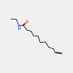 C=CCCCCCCCCC(=O)NCC